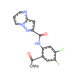 COC(=O)c1cc(F)c(F)cc1NC(=O)c1cc2ncccn2n1